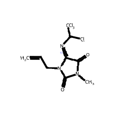 C=CCN1C(=O)N(C)C(=O)/C1=N\C(Cl)C(Cl)(Cl)Cl